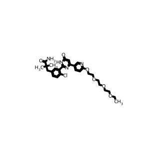 CCOCCOCCOCCOc1ccc(-c2cc(=O)[nH]c(-c3cc(CC(C)(C)C(N)=O)ccc3Cl)n2)cn1